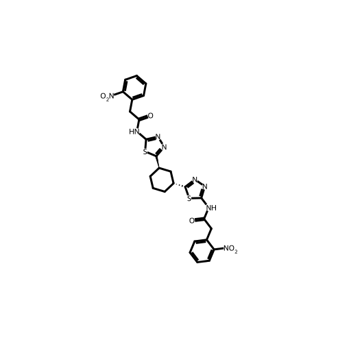 O=C(Cc1ccccc1[N+](=O)[O-])Nc1nnc([C@@H]2CCC[C@@H](c3nnc(NC(=O)Cc4ccccc4[N+](=O)[O-])s3)C2)s1